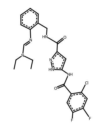 CCN(C=Nc1ccccc1CNC(=O)c1cc(NC(=O)c2cc(F)c(F)cc2Cl)[nH]n1)CC